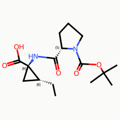 CC[C@@H]1C[C@]1(NC(=O)[C@@H]1CCCN1C(=O)OC(C)(C)C)C(=O)O